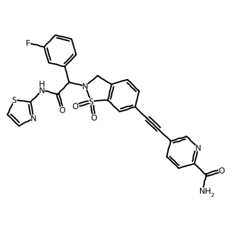 NC(=O)c1ccc(C#Cc2ccc3c(c2)S(=O)(=O)N(C(C(=O)Nc2nccs2)c2cccc(F)c2)C3)cn1